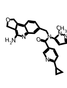 Cn1nccc1N(Cc1ccc2c3c(c(N)nc2c1)COC3)C(=O)c1ccc(C2CC2)nc1